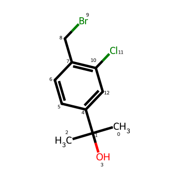 CC(C)(O)c1ccc(CBr)c(Cl)c1